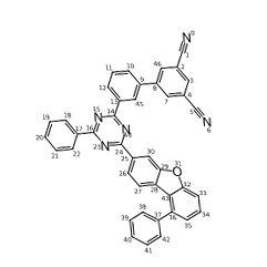 N#Cc1cc(C#N)cc(-c2cccc(-c3nc(-c4ccccc4)nc(-c4ccc5c(c4)oc4cccc(-c6ccccc6)c45)n3)c2)c1